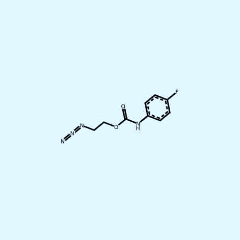 [N-]=[N+]=NCCOC(=O)Nc1ccc(F)cc1